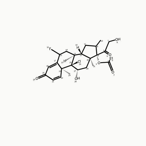 CCC(=O)O[C@@]1(C(=O)CO)C(C)C[C@H]2[C@@H]3CC(F)C4=CC(=O)C=C[C@]4(C)[C@@]3(Cl)[C@@H](O)C[C@@]21C